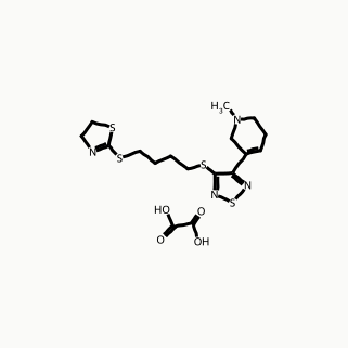 CN1CCC=C(c2nsnc2SCCCCSC2=NCCS2)C1.O=C(O)C(=O)O